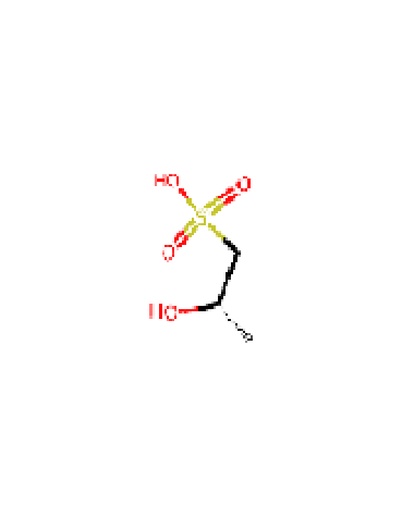 C[C@H](O)CS(=O)(=O)O